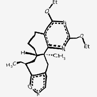 CCOc1nc(OCC)c2c(n1)[C@@]1(C)Cc3cnoc3[C@@H](C)[C@@H]1CC2